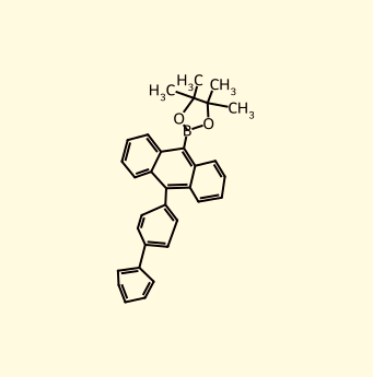 CC1(C)OB(c2c3ccccc3c(-c3ccc(-c4ccccc4)cc3)c3ccccc23)OC1(C)C